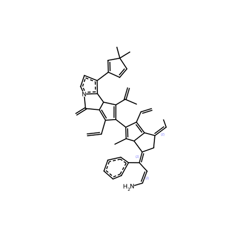 C=CC1=C2/C(=C\C)C/C(=C(\C=C/N)c3ccccc3)C2C(C)=C1C1=C(C(=C)C)C2C(=C1C=C)C(=C)n1ccc(C3=CC(C)(C)C=C3)c12